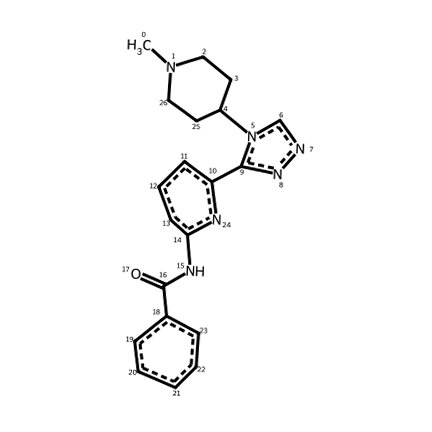 CN1CCC(n2cnnc2-c2cccc(NC(=O)c3ccccc3)n2)CC1